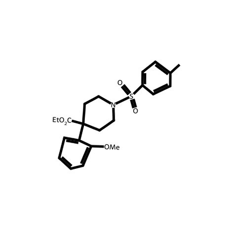 CCOC(=O)C1(c2ccccc2OC)CCN(S(=O)(=O)c2ccc(C)cc2)CC1